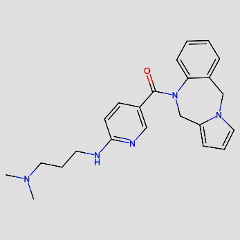 CN(C)CCCNc1ccc(C(=O)N2Cc3cccn3Cc3ccccc32)cn1